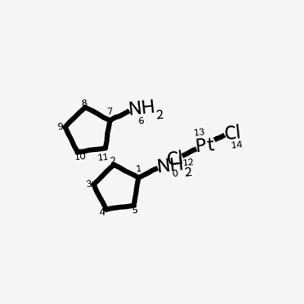 NC1CCCC1.NC1CCCC1.[Cl][Pt][Cl]